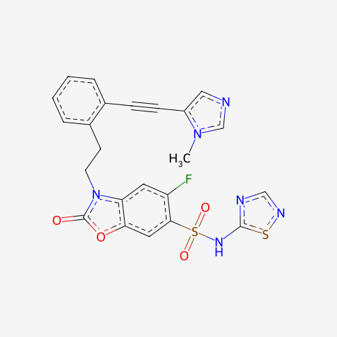 Cn1cncc1C#Cc1ccccc1CCn1c(=O)oc2cc(S(=O)(=O)Nc3ncns3)c(F)cc21